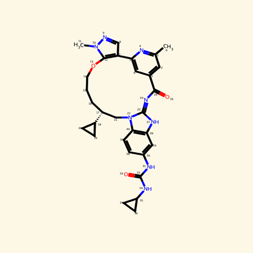 Cc1cc2cc(n1)-c1cnn(C)c1OCCC[C@@H](C1CC1)CN1/C(=N/C2=O)Nc2cc(NC(=O)NC3CC3)ccc21